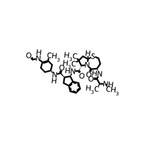 CN[C@@H](C)C(=O)N[C@H]1CCS[C@H]2CC(C)(C)[C@@H](C(=O)N[C@H]3c4ccccc4C[C@H]3C(=O)N[C@H]3CCC(NC=O)=C(C)C3)N2C1=O